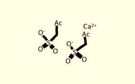 CC(=O)CS(=O)(=O)[O-].CC(=O)CS(=O)(=O)[O-].[Ca+2]